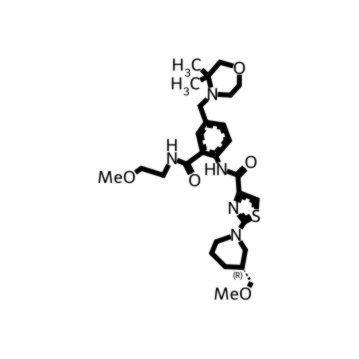 COCCNC(=O)c1cc(CN2CCOCC2(C)C)ccc1NC(=O)c1csc(N2CCC[C@@H](COC)C2)n1